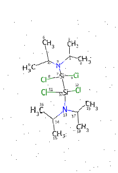 CC(C)N(C(C)C)[Si](Cl)(Cl)[Si](Cl)(Cl)N(C(C)C)C(C)C